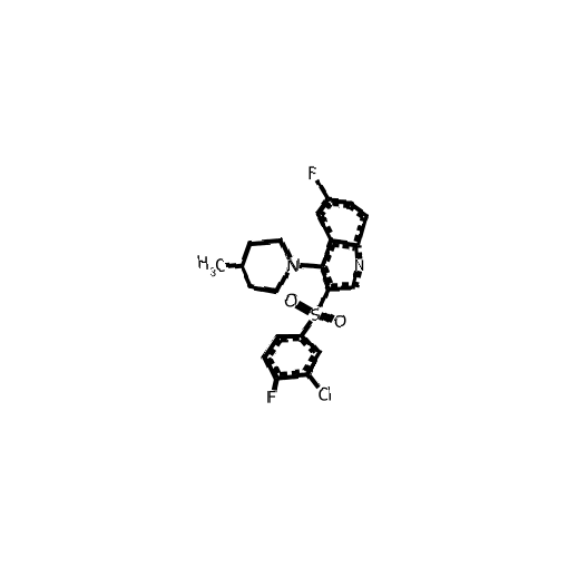 CC1CCN(c2c(S(=O)(=O)c3ccc(F)c(Cl)c3)cnc3ccc(F)cc23)CC1